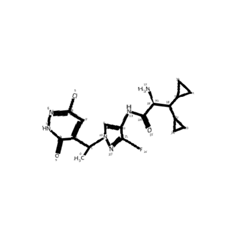 CC(c1cc(Cl)n[nH]c1=O)n1cc(NC(=O)[C@@H](N)C(C2CC2)C2CC2)c(F)n1